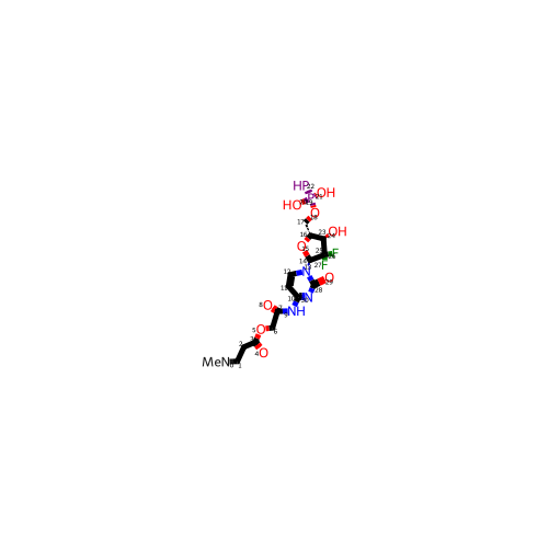 CNCCC(=O)OCC(=O)Nc1ccn([C@@H]2O[C@H](COP(O)(O)=P)[C@@H](O)C2(F)F)c(=O)n1